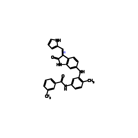 Cc1ccc(NC(=O)c2cccc(C(F)(F)F)c2)cc1Nc1ccc2c(c1)NC(=O)/C2=C\c1ccc[nH]1